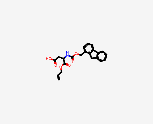 C=CCOC(=O)C(CC(=O)O)NC(=O)OCc1cccc2c1Cc1ccccc1-2